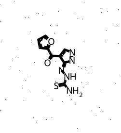 NC(=S)NN=C1N=NC=C1C(=O)c1ccco1